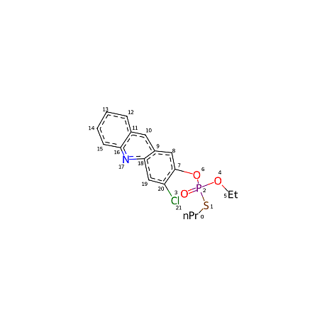 CCCSP(=O)(OCC)Oc1cc2cc3ccccc3nc2cc1Cl